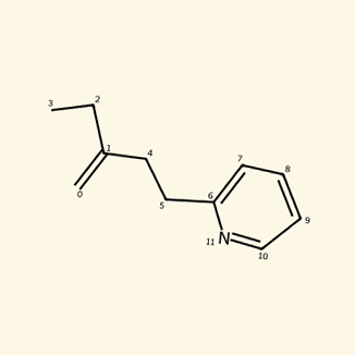 C=C(CC)CCc1ccccn1